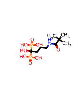 CC(C)(C)C(=O)NCCCC(O)(P(=O)(O)O)P(=O)(O)O